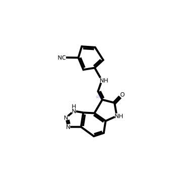 N#Cc1cccc(N/C=C2\C(=O)Nc3ccc4nn[nH]c4c32)c1